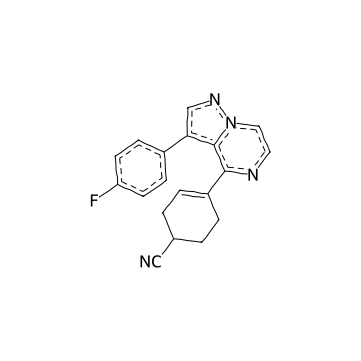 N#CC1CC=C(c2nccn3ncc(-c4ccc(F)cc4)c23)CC1